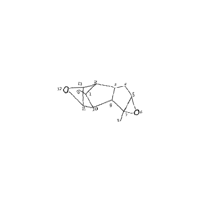 CC1C2C3CC4OC4(C)C3C1C1OC12